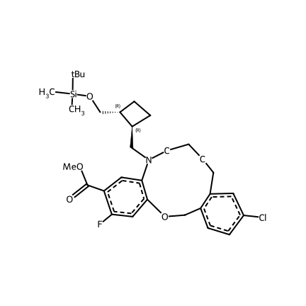 COC(=O)c1cc2c(cc1F)OCc1ccc(Cl)cc1CCCCN2C[C@@H]1CC[C@H]1CO[Si](C)(C)C(C)(C)C